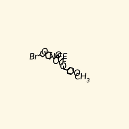 COc1ccc(COCC(OC(=O)N2CCC3(CC2)CC(Br)CO3)C(F)(F)F)cc1